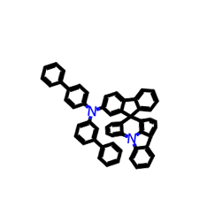 c1ccc(-c2ccc(N(c3cccc(-c4ccccc4)c3)c3ccc4c(c3)C3(c5ccccc5-4)c4ccccc4-n4c5ccccc5c5cccc3c54)cc2)cc1